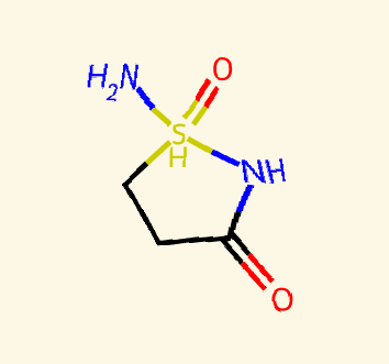 N[SH]1(=O)CCC(=O)N1